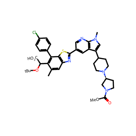 COC(=O)N1CC[C@H](N2CCC(c3cn(C)c4ncc(-c5nc6cc(C)c(C(OC(C)(C)C)C(=O)O)c(-c7ccc(Cl)cc7)c6s5)cc34)CC2)C1